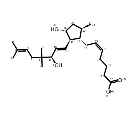 CC(C)=CCC(C)(C)[C@H](O)/C=C/[C@@H]1[C@@H](C/C=C\CCCC(=O)O)[C@H](F)C[C@H]1O